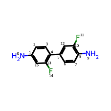 Nc1ccc(-c2ccc(N)c(F)c2)c(F)c1